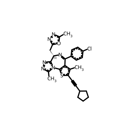 Cc1nnc(C[C@@H]2N=C(c3ccc(Cl)cc3)c3c(sc(C#CC4CCCC4)c3C)-n3c(C)nnc32)o1